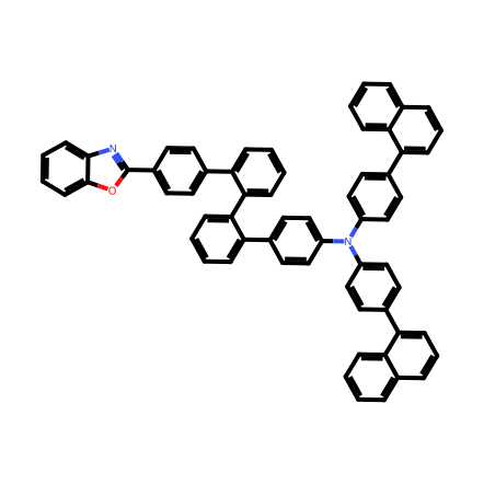 c1ccc(-c2ccccc2-c2ccc(N(c3ccc(-c4cccc5ccccc45)cc3)c3ccc(-c4cccc5ccccc45)cc3)cc2)c(-c2ccc(-c3nc4ccccc4o3)cc2)c1